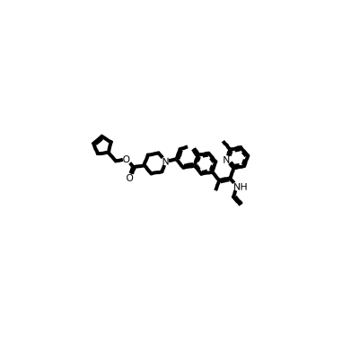 C=CN/C(=C(\C)c1ccc(=C)/c(=C\C(=C/C)N2CCC(C(=O)OCC3CC=CC3)CC2)c1)c1cccc(C)n1